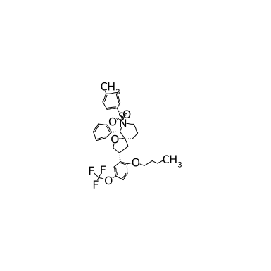 CCCCOc1ccc(OC(F)(F)F)cc1[C@@H]1CO[C@]2(CCCN(S(=O)(=O)c3ccc(C)cc3)[C@H]2c2ccccc2)C1